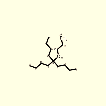 CCCCC(CCCC)(CCCC)OCCP